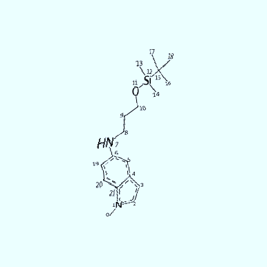 Cn1ccc2cc(NCCCO[Si](C)(C)C(C)(C)C)ccc21